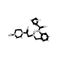 CC(=O)N1CCN(C(=O)C[S+]([O-])Cc2ccccc2NC(=O)c2cccs2)CC1